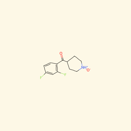 O=C(c1ccc(F)cc1F)C1CC[NH+]([O-])CC1